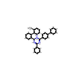 Bc1ccccc1-c1ccccc1C1N=C(c2ccccc2)N=C(c2ccc(-c3ccccc3)cc2)N1